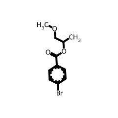 COCC(C)OC(=O)c1ccc(Br)cc1